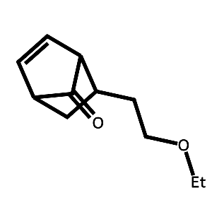 CCOCCC1CC2C=CC1C2=O